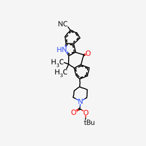 CC(C)(C)OC(=O)N1CCC(c2ccc3c(c2)C(C)(C)c2[nH]c4cc(C#N)ccc4c2C3=O)CC1